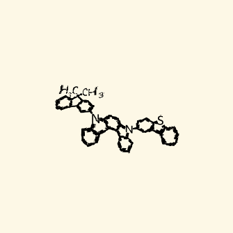 CC1(C)c2ccccc2-c2cc(-n3c4ccccc4c4c5c6ccccc6n(-c6ccc7sc8ccccc8c7c6)c5ccc43)ccc21